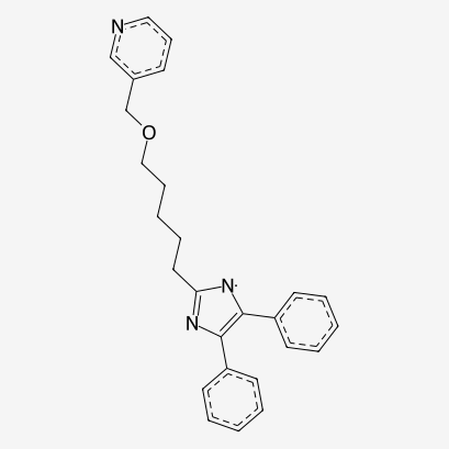 c1ccc(C2=C(c3ccccc3)N=C(CCCCCOCc3cccnc3)[N]2)cc1